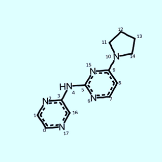 c1cnc(Nc2nccc(N3CCCC3)n2)cn1